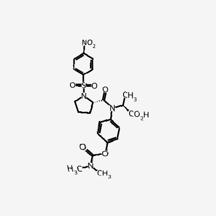 C[C@@H](C(=O)O)N(C(=O)[C@@H]1CCCN1S(=O)(=O)c1ccc([N+](=O)[O-])cc1)c1ccc(OC(=O)N(C)C)cc1